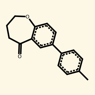 Cc1ccc(-c2ccc3c(c2)C(=O)CCCO3)cc1